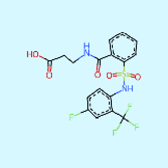 O=C(O)CCNC(=O)c1ccccc1S(=O)(=O)Nc1ccc(F)cc1C(F)(F)F